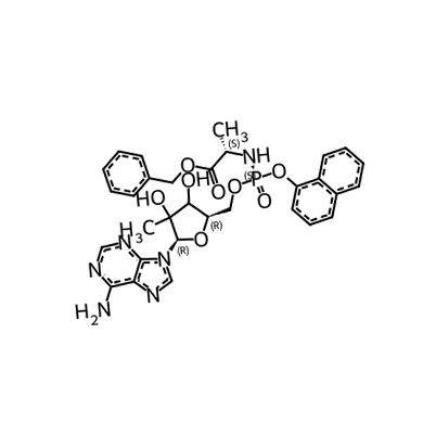 C[C@H](N[P@](=O)(OC[C@H]1O[C@@H](n2cnc3c(N)ncnc32)C(C)(O)C1O)Oc1cccc2ccccc12)C(=O)OCc1ccccc1